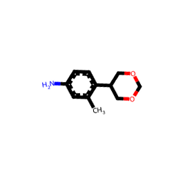 Cc1cc(N)ccc1C1COCOC1